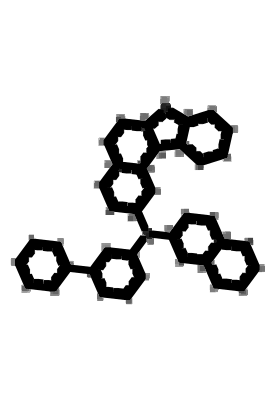 c1ccc(-c2cccc(N(c3ccc4ccccc4c3)c3ccc4ccc5oc6ccccc6c5c4c3)c2)cc1